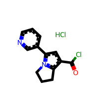 Cl.O=C(Cl)c1cc(-c2cccnc2)n2c1CCC2